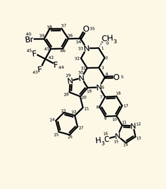 C[C@@H]1CC2C(=O)N(c3ccc(-c4nccn4C)cc3)c3c(Cc4ccccc4)cnn3C2CN1C(=O)c1ccc(Br)c(C(F)(F)F)c1